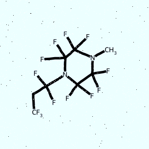 CN1C(F)(F)C(F)(F)N(C(F)(F)CC(F)(F)F)C(F)(F)C1(F)F